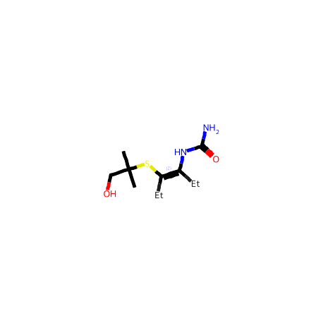 CC/C(NC(N)=O)=C(\CC)SC(C)(C)CO